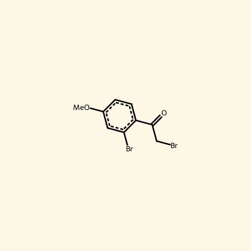 COc1ccc(C(=O)CBr)c(Br)c1